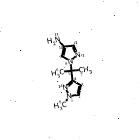 Cn1ccc(C(C)(C)n2cc(N)cn2)n1